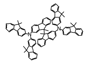 CC1(C)c2ccccc2-c2ccc(N(c3ccc4c(c3)C(C)(C)c3ccccc3-4)c3ccc4c(c3)C(C)(C3(C)c5ccccc5-c5ccc(N(c6ccc7c(c6)C(C)(C)c6ccccc6-7)c6ccc7c(c6)C(C)(C)c6ccccc6-7)cc53)c3ccccc3-4)cc21